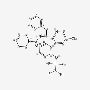 O=C(N[C@@](Cc1ccccc1)(c1cccc(OC(F)(F)C(F)F)c1)c1ccc(Cl)cn1)N1CC=CCC1